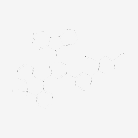 CC1(C)c2ccccc2N(c2cc(-c3cccc(-c4ccc(C#N)cc4C#N)c3)cc(-n3c4ccccc4c4cnccc43)c2)c2ccccc21